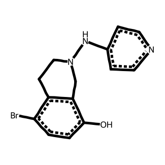 Oc1ccc(Br)c2c1CN(Nc1ccncc1)CC2